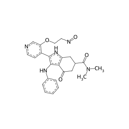 CN(C)C(=O)C1CC(=O)c2c([nH]c(-c3ccncc3OCCN=O)c2Nc2ccccc2)C1